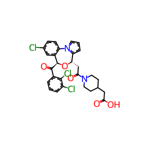 O=C(O)CC1CCN(C(=O)C[C@@H]2O[C@@H](C(=O)c3cccc(Cl)c3Cl)c3cc(Cl)ccc3-n3cccc32)CC1